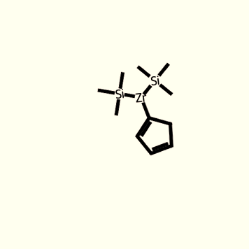 C[Si](C)(C)[Zr]([C]1=CC=CC1)[Si](C)(C)C